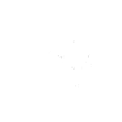 O=C(N[C@@](Cc1ccccc1)(c1cc(F)cc(C(F)(F)F)c1)c1ccc(Cl)cn1)Oc1cccc2ccccc12